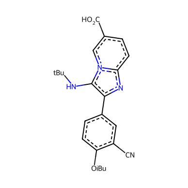 CC(C)COc1ccc(-c2nc3ccc(C(=O)O)cn3c2NC(C)(C)C)cc1C#N